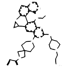 C=CC(=O)N1CC2(CCN(c3nc(OC4CCN(CCOC)CC4)nc4c(OCC(F)(F)F)c(-c5c(C)ccc6nc[nH]c(=O)c56)c(C5CC5)cc34)CC2)C1